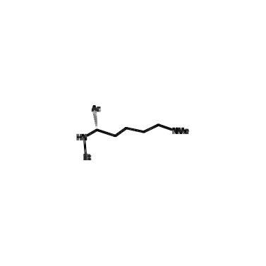 CCN[C@@H](CCCCNC)C(C)=O